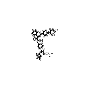 Cc1cc(CN(C[C@H]2CC[C@H](CNC(=O)c3cc(-c4ccc(N5CCN(C)CC5)nc4)nc4ccccc34)CC2)C(=O)O)no1